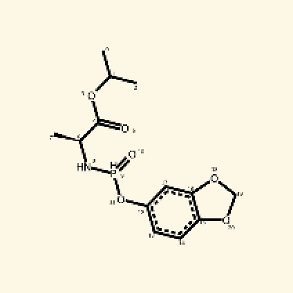 CC(C)OC(=O)[C@H](C)N[PH](=O)Oc1ccc2c(c1)OCO2